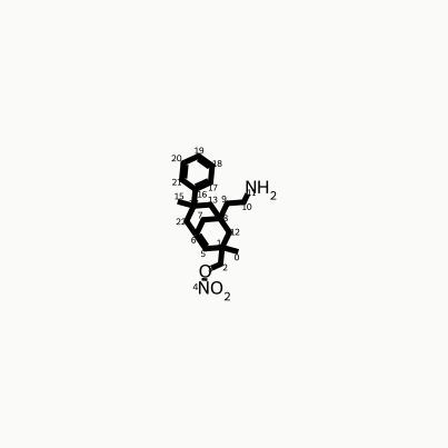 CC1(CO[N+](=O)[O-])C=C2CC(CCN)(C1)CC(C)(c1ccccc1)C2